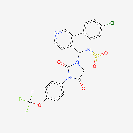 O=C1CN(C(N=S(=O)=O)c2ccncc2-c2ccc(Cl)cc2)C(=O)N1c1ccc(OC(F)(F)F)cc1